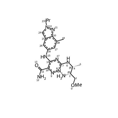 COC[C@H](N)[C@@H](C)Nc1nnc(C(N)=O)c(Nc2cc(C)c3nn(C(C)C)cc3c2)n1